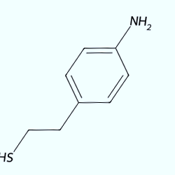 Nc1ccc(CCS)cc1